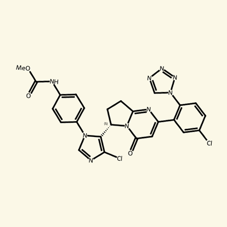 COC(=O)Nc1ccc(-n2cnc(Cl)c2[C@@H]2CCc3nc(-c4cc(Cl)ccc4-n4cnnn4)cc(=O)n32)cc1